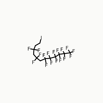 FC(F)(CCI)CC(F)(F)CC(F)(F)C(F)(F)C(F)(F)C(F)(F)C(F)(F)C(F)(F)F